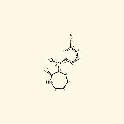 O=C1NCCCCC1[S+]([O-])c1cccc(Cl)c1